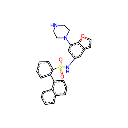 O=S(=O)(Nc1cc(N2CCNCC2)c2occc2c1)c1ccccc1-c1cccc2ccccc12